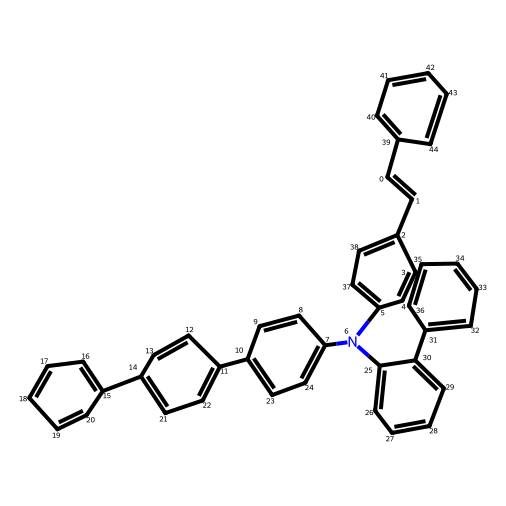 C(=C\c1ccc(N(c2ccc(-c3ccc(-c4ccccc4)cc3)cc2)c2ccccc2-c2ccccc2)cc1)/c1ccccc1